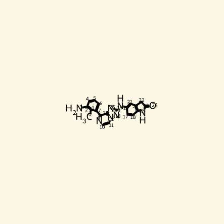 Cc1c(N)cccc1-c1nccn2nc(Nc3ccc4c(c3)CC(=O)N4)nc12